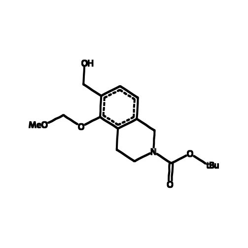 COCOc1c(CO)ccc2c1CCN(C(=O)OC(C)(C)C)C2